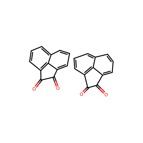 O=C1C(=O)c2cccc3cccc1c23.O=C1C(=O)c2cccc3cccc1c23